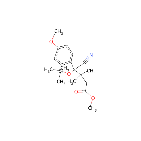 COC(=O)CC(C)(C)C(C#N)(O[Si](C)(C)C)c1ccc(OC)cc1